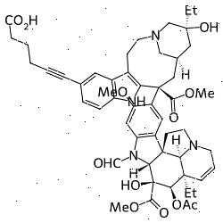 CC[C@]1(O)C[C@@H]2CN(CCc3c([nH]c4ccc(C#CCCCC(=O)O)cc34)[C@@](C(=O)OC)(c3cc4c(cc3OC)N(C=O)[C@H]3[C@@](O)(C(=O)OC)[C@H](OC(C)=O)[C@]5(CC)C=CCN6CC[C@]43[C@@H]65)C2)C1